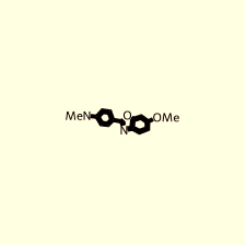 CNc1ccc(-c2nc3ccc(OC)cc3o2)cc1